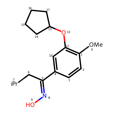 COc1ccc(C(CC(C)C)=NO)cc1OC1CCCC1